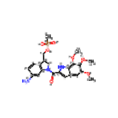 COc1cc2cc(C(=O)N3CC(COS(C)(=O)=O)c4ccc(N)cc43)[nH]c2c(OC)c1OC